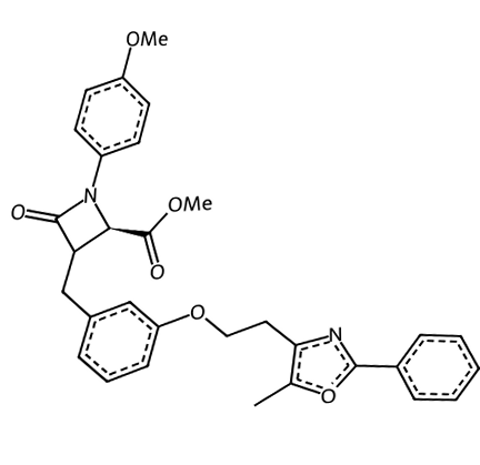 COC(=O)[C@H]1C(Cc2cccc(OCCc3nc(-c4ccccc4)oc3C)c2)C(=O)N1c1ccc(OC)cc1